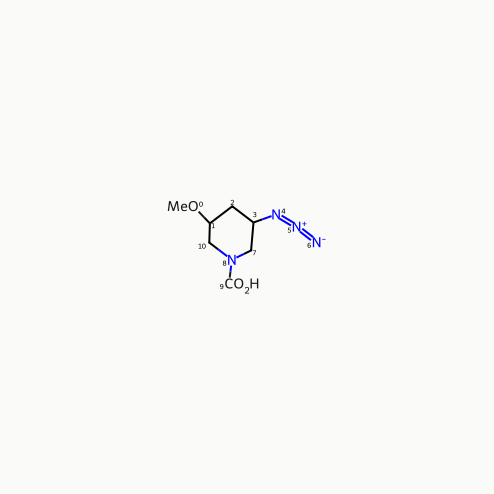 COC1CC(N=[N+]=[N-])CN(C(=O)O)C1